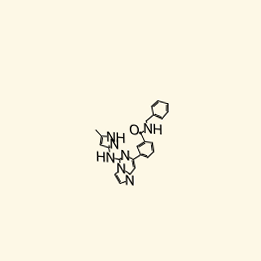 Cc1cc(Nc2nc(-c3cccc(C(=O)NCc4ccccc4)c3)cc3nccn23)n[nH]1